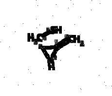 C=C1CN1.CS